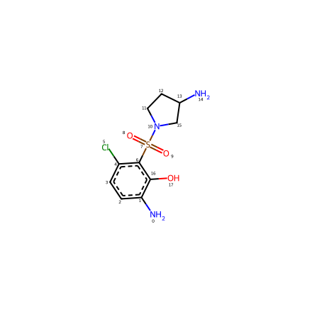 Nc1ccc(Cl)c(S(=O)(=O)N2CCC(N)C2)c1O